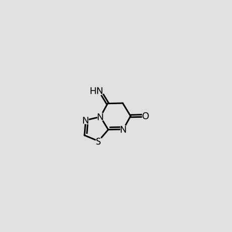 N=C1CC(=O)N=C2SC=NN12